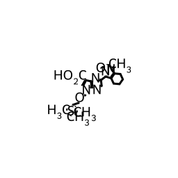 Cn1c2c(c(-c3cnc4c(n3)c(C(=O)O)cn4COCC[Si](C)(C)C)[n+]1[O-])CCCC2